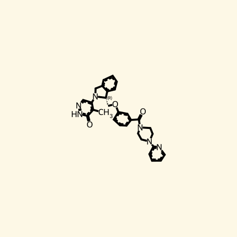 Cc1c(N2Cc3ccccc3[C@@H]2COc2cccc(C(=O)N3CCN(c4ccccn4)CC3)c2)cn[nH]c1=O